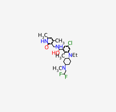 CCN(c1cc(Cl)cc(C(O)NCc2c(C)cc(C)[nH]c2=O)c1C)[C@H]1CC[C@H](N(C)CC(F)F)CC1